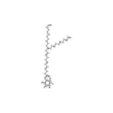 CCCOCCOCCOCCN(CCOCCOCCOCCC)CCOCCOCCOCCC(=O)Oc1c(F)c(C)c(F)c(F)c1F